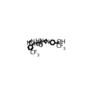 O=C(CNc1ncnc2ccc(C(F)(F)F)cc12)NC1CN(C2CCC(C(O)C(F)(F)F)CC2)C1